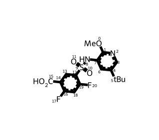 COc1ncc(C(C)(C)C)cc1NS(=O)(=O)c1cc(C(=O)O)c(F)cc1F